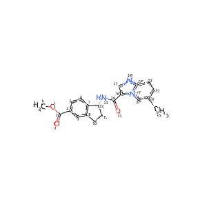 COC(=O)c1ccc2c(c1)CC[C@H]2NC(=O)c1cnc2ccc(C)cn12